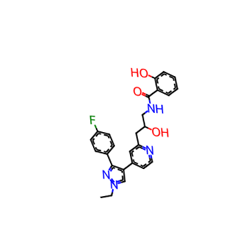 CCn1cc(-c2ccnc(CC(O)CNC(=O)c3ccccc3O)c2)c(-c2ccc(F)cc2)n1